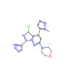 C[C@@H]1COCCN1c1cc(-c2ccnn2C)c2[n+](n1)C(c1ccn[nH]1)=NC2Cl